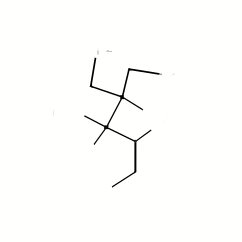 CCCC(C)CC(C(=O)O)C(O)(C(=O)O)C(CC(C)CCC)(CC(C)CCC)C(=O)O